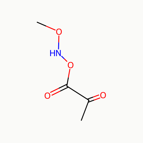 CONOC(=O)C(C)=O